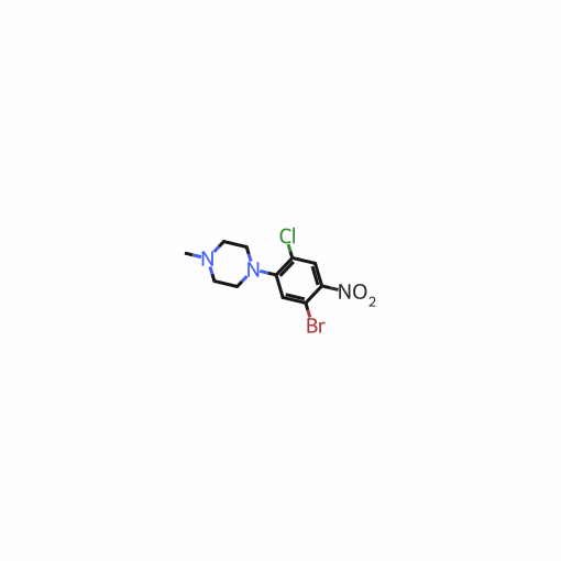 CN1CCN(c2cc(Br)c([N+](=O)[O-])cc2Cl)CC1